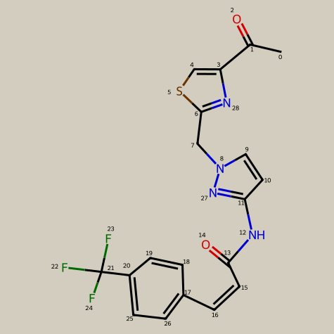 CC(=O)c1csc(Cn2ccc(NC(=O)/C=C\c3ccc(C(F)(F)F)cc3)n2)n1